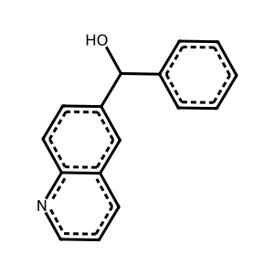 OC(c1ccccc1)c1ccc2ncccc2c1